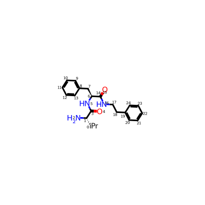 CC(C)[C@H](N)C(=O)N[C@@H](Cc1ccccc1)C(=O)NCCc1ccccc1